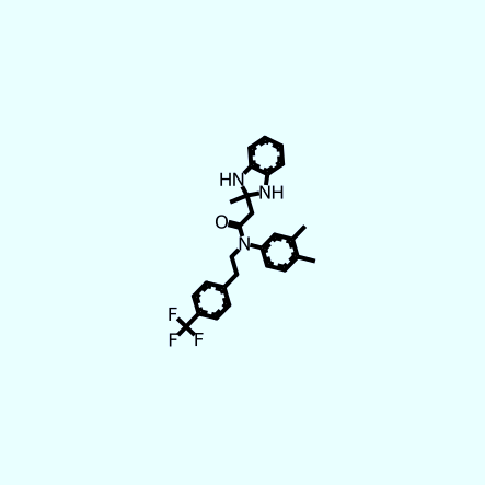 Cc1ccc(N(CCc2ccc(C(F)(F)F)cc2)C(=O)CC2(C)Nc3ccccc3N2)cc1C